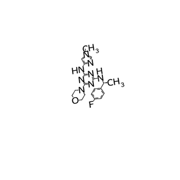 C[C@H](Nc1nc(Nc2cn(C)cn2)nc(N2CCOCC2)n1)c1ccc(F)cc1